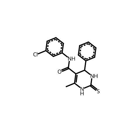 CC1=C(C(=O)Nc2cccc(Cl)c2)C(c2ccccc2)NC(=S)N1